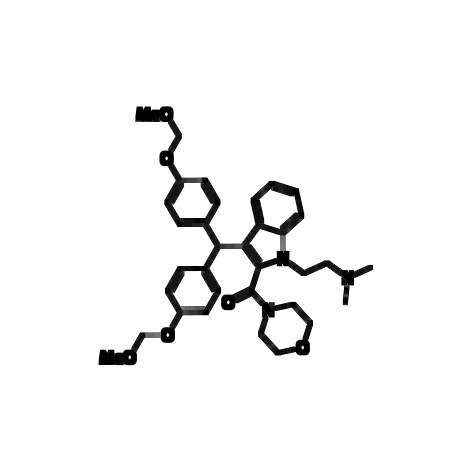 COCOc1ccc(C(c2ccc(OCOC)cc2)c2c(C(=O)N3CCOCC3)n(CCN(C)C)c3ccccc23)cc1